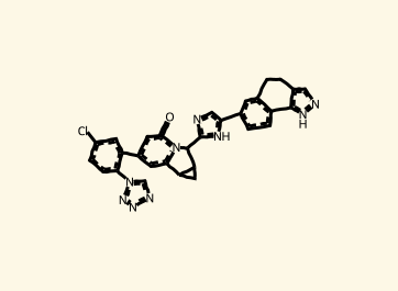 O=c1cc(-c2cc(Cl)ccc2-n2cnnn2)cc2n1C(c1ncc(-c3ccc4c(c3)CCc3cn[nH]c3-4)[nH]1)C1CC21